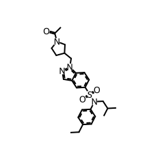 CCc1ccc(N(CC(C)C)S(=O)(=O)c2ccc3c(cnn3CC3CCN(C(C)=O)C3)c2)cc1